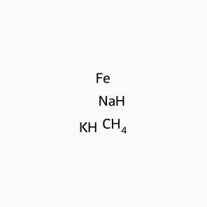 C.[Fe].[KH].[NaH]